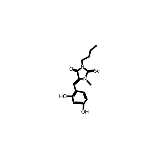 CCCCN1C(=O)C(=Cc2ccc(O)cc2O)N(C)C1=[Se]